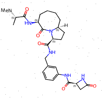 CN[C@@H](C)C(=O)N[C@H]1CCCC[C@H]2CC[C@@H](C(=O)NCc3cccc(NC(=O)[C@@H]4CC(=O)N4)c3)N2C1=O